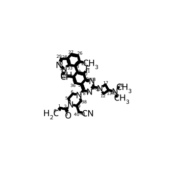 C=CC(=O)N1CCN(c2nc(N3CC(N(C)C)C3)nc3c(F)c(-c4c(C)ccc5cnn(C)c45)c(Cl)cc23)CC1CC#N